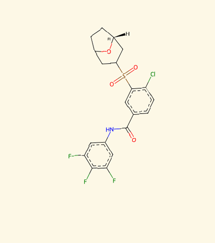 O=C(Nc1cc(F)c(F)c(F)c1)c1ccc(Cl)c(S(=O)(=O)C2CC3CC[C@H](C2)O3)c1